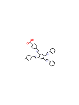 Cc1ccc(/C=C/c2cc(/C=C/c3ccccc3)c(/C=C/c3ccccc3)cc2/C=C/c2ccc(C(=O)O)cc2)cc1